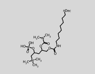 CCCCCCCCCCCCCCCCCCNC(=O)OCC(CC(C[N+](C)(C)C)OP(=O)(O)O)OC(=O)N(C)C